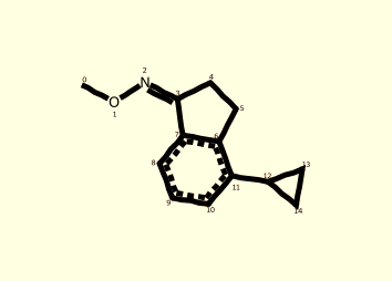 CO/N=C1/CCc2c1cccc2C1CC1